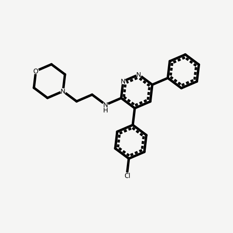 Clc1ccc(-c2cc(-c3ccccc3)nnc2NCCN2CCOCC2)cc1